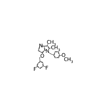 COc1ccc(Cn2c(C)c(C)c3nccc(OCc4cc(F)cc(F)c4)c32)cc1